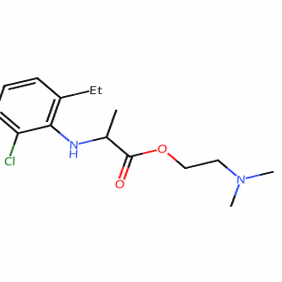 CCc1cccc(Cl)c1NC(C)C(=O)OCCN(C)C